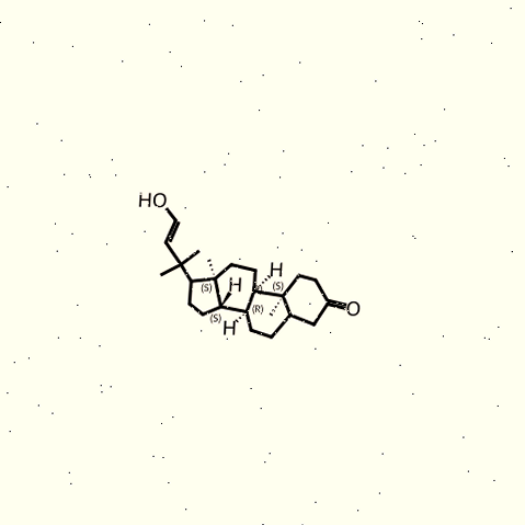 CC(C)(C=CO)C1CC[C@H]2[C@@H]3CCC4CC(=O)CC[C@]4(C)[C@@H]3CC[C@]12C